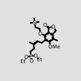 CCOP(=O)(CCC(C)=CCc1c(OC)c(C)c2c(c1OCC[Si](C)(C)C)C(=O)OC2)OCC